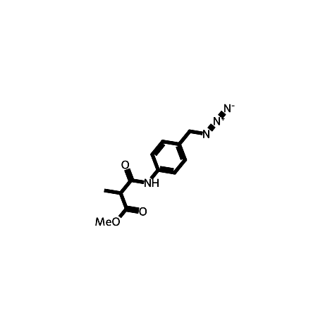 COC(=O)C(C)C(=O)Nc1ccc(CN=[N+]=[N-])cc1